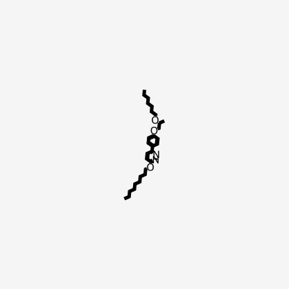 CCCCCCCCCOc1ccc(-c2ccc(OCC(C)OCCCCCCC)cc2)nn1